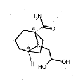 NC(=O)[C@]12C[CH]C[C@H](CC1)N2CC(O)O